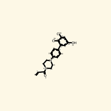 C=CC(=O)N1CCN(c2ccc(-c3cc(O)cc(Cl)c3Cl)cc2)CC1